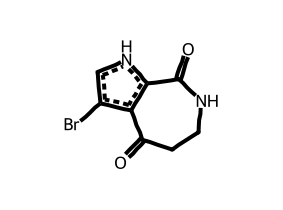 O=C1NCCC(=O)c2c(Br)c[nH]c21